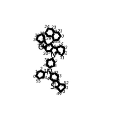 c1ccc(N(c2ccc(-n3c4ccccc4c4c(-c5cccc6ccccc56)c5c(cc43)oc3ccccc35)cc2)c2ccc3c(c2)sc2ccccc23)cc1